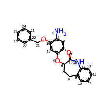 Nc1ccc(OC2CCc3ccccc3NC2=O)cc1OCc1ccccc1